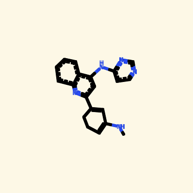 CNC1=CCCC(c2cc(Nc3ccncn3)c3ccccc3n2)=C1